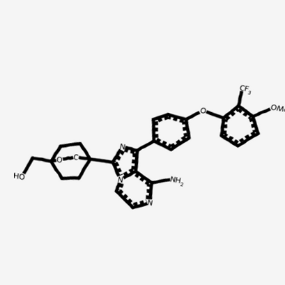 COc1cccc(Oc2ccc(-c3nc(C45CCC(CO)(CC4)OC5)n4ccnc(N)c34)cc2)c1C(F)(F)F